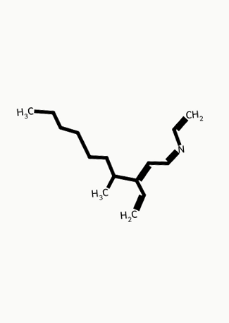 C=C/N=C\C=C(/C=C)C(C)CCCCCC